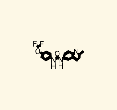 Cc1ccc2cc(NC(=O)Nc3ccc(OC(F)F)cc3)ccc2n1